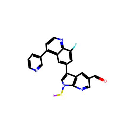 O=Cc1cnc2c(c1)c(-c1cc(F)c3nccc(-c4cccnc4)c3c1)cn2SI